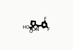 O=C(O)C12C=CCC1C(c1cc(F)cc(F)c1)=NO2